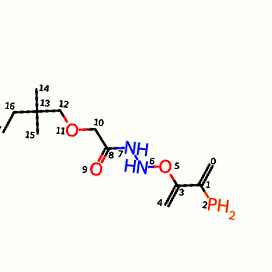 C=C(P)C(=C)ONNC(=O)COCC(C)(C)CC